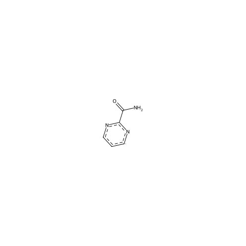 NC(=O)c1n[c]ccn1